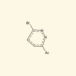 CC(=O)c1ccc(Br)nn1